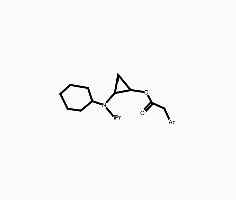 CC(=O)CC(=O)OC1CC1N(C(C)C)C1CCCCC1